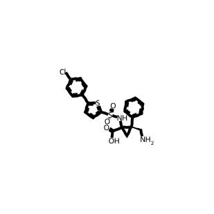 NC[C@@]1(c2ccccc2)CC1(NS(=O)(=O)c1ccc(-c2ccc(Cl)cc2)s1)C(=O)O